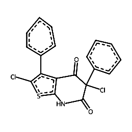 O=C1Nc2sc(Cl)c(-c3ccccc3)c2C(=O)C1(Cl)c1ccccc1